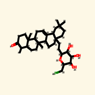 CC1C(=O)CCC2(C)C1CCC1(C)C3CCC4(CCC5OC(CF)C(O)C(O)C5O)CCC(C)(C)CC4C3=CCC12